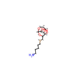 NCCCCCSCC1OC2OCCCOC1C(O)C2O